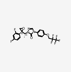 C[C@@H](n1ncn(-c2ccc(OCC(F)(F)C(F)(F)F)cc2)c1=O)[C@]1(c2ccc(F)cc2F)CO1